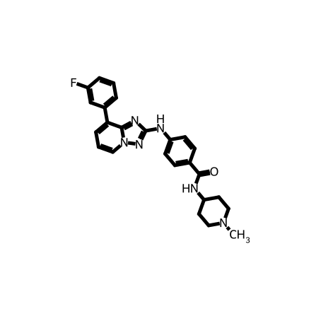 CN1CCC(NC(=O)c2ccc(Nc3nc4c(-c5cccc(F)c5)cccn4n3)cc2)CC1